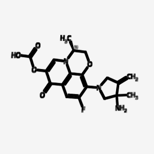 C=C1CN(c2c(F)cc3c(=O)c(OC(=O)O)cn4c3c2OC[C@@H]4C)CC1(C)N